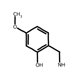 COc1ccc(C[NH])c(O)c1